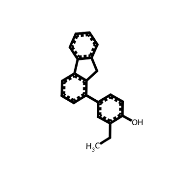 CCc1cc(-c2cccc3c2Cc2ccccc2-3)ccc1O